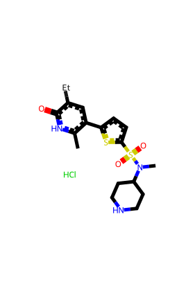 CCc1cc(-c2ccc(S(=O)(=O)N(C)C3CCNCC3)s2)c(C)[nH]c1=O.Cl